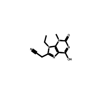 CCn1c(CC#N)nc2c(O)nc(=O)n(C)c21